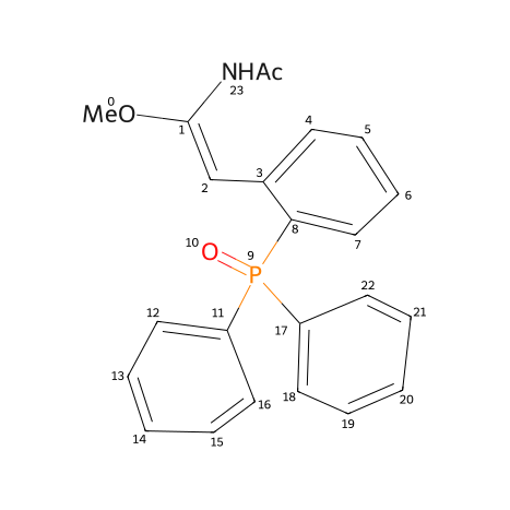 COC(=Cc1ccccc1P(=O)(c1ccccc1)c1ccccc1)NC(C)=O